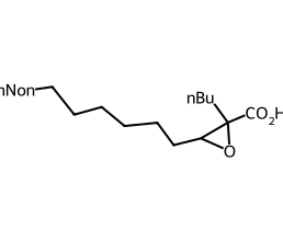 CCCCCCCCCCCCCCCC1OC1(CCCC)C(=O)O